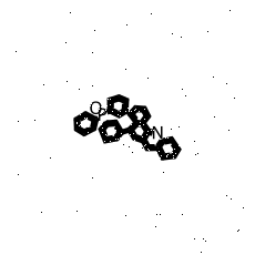 O=P(c1ccccc1)(c1ccccc1)c1cccc(-c2cc3cc4ccccc4nc3c3ccccc23)c1